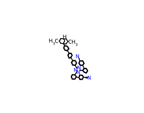 C[C@@H]1C[C@@H]2C[C@H](C)CC(c3ccc(-c4ccc(-c5ccc(-c6nc(-c7ccccc7-c7ccc(C#N)cc7)nc(-c7ccccc7-c7ccc(C#N)cc7)n6)cc5)cc4)cc3)(C1)C2